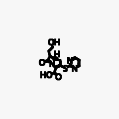 O=C(O)C1=C(Sc2ncccn2)C[C@@H]2C(CCO)C(=O)N12